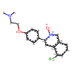 CN(C)CCOc1ccc(-c2cc3c(Br)cccc3c[n+]2[O-])cc1